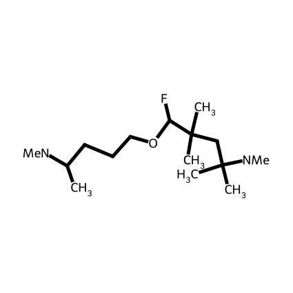 CNC(C)CCCOC(F)C(C)(C)CC(C)(C)NC